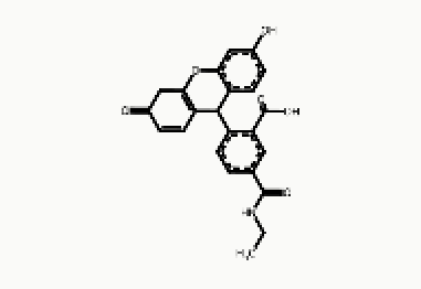 CCNC(=O)c1ccc(C2C3=C(CC(=O)C=C3)Oc3cc(O)ccc32)c(C(=O)O)c1